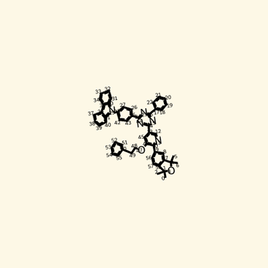 CC1(C)OC(C)(C)c2cc(-c3ncc(-c4nc(-c5ccccc5)nc(-c5ccc(-n6c7ccccc7c7ccccc76)cc5)n4)cc3OCCc3ccccc3)ccc21